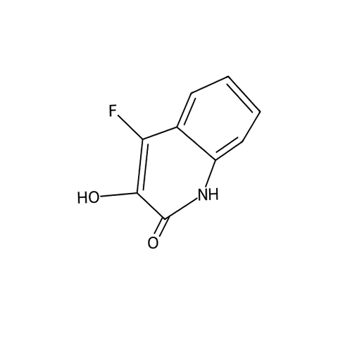 O=c1[nH]c2ccccc2c(F)c1O